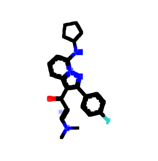 CN(C)/C=C/C(=O)c1c(-c2ccc(F)cc2)nn2c(NC3CCCC3)cccc12